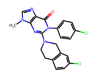 Cn1cnc2c(=O)n(-c3ccc(Cl)cc3)c(N3CCc4ccc(Cl)cc4C3)nc21